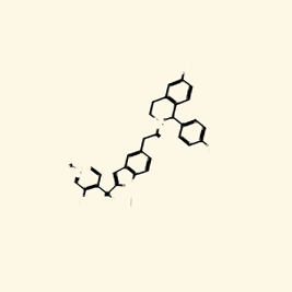 Cc1ccc2c(c1)CCN(C(=O)Cc1ccc3oc(C(C)(O)c4cc[n+]([O-])cc4F)cc3c1)C2c1ccc(F)cc1